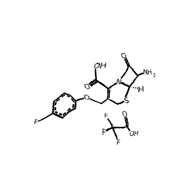 NC1C(=O)N2C(C(=O)O)=C(COc3ccc(F)cc3)CS[C@H]12.O=C(O)C(F)(F)F